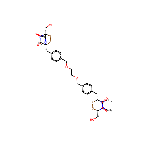 CN1C(=O)[C@@]2(CO)NC(=O)[C@]1(Cc1ccc(COCCOCc3ccc(C[C@@]45SS[C@@](CO)(C(=O)N4C)N(C)C5=O)cc3)cc1)SS2